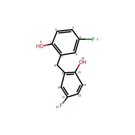 Oc1ccc(F)cc1Cc1cc(F)ccc1O